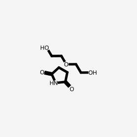 O=C1CCC(=O)N1.OCCOCCO